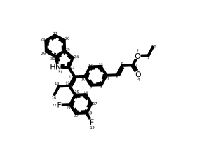 CCOC(=O)/C=C/c1ccc(/C(=C(/CC)c2ccc(F)cc2F)c2cc3ccccc3[nH]2)cc1